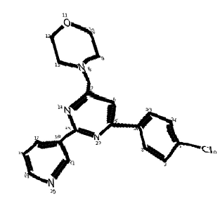 Clc1ccc(-c2cc(N3CCOCC3)nc(-c3cccnc3)n2)cc1